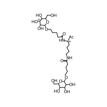 CC(=O)[C@@H](CCCCNC(=O)CCCCOC1OC(CO)C(O)C(O)C1O)NC(=O)CCCCOC1OC(CO)C(O)[C@H](O)C1O